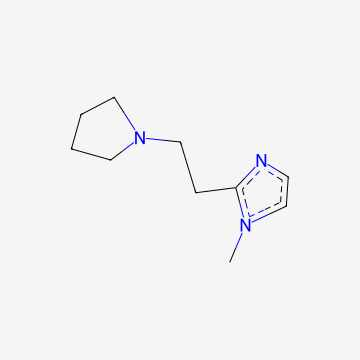 Cn1ccnc1CCN1CCCC1